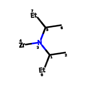 CCC(C)[N]([Zr])C(C)CC